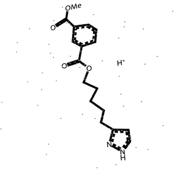 COC(=O)c1cccc(C(=O)OCCCCCc2cc[nH]n2)c1.[H+]